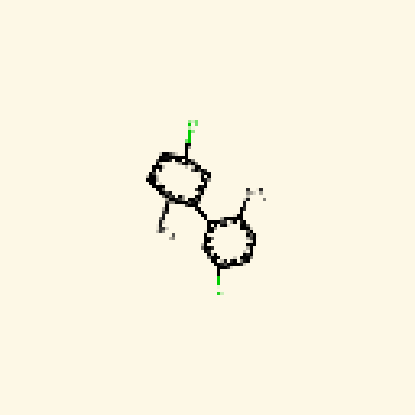 O=[N+]([O-])c1ccc(Cl)cc1-c1cc(Cl)ccc1[N+](=O)[O-]